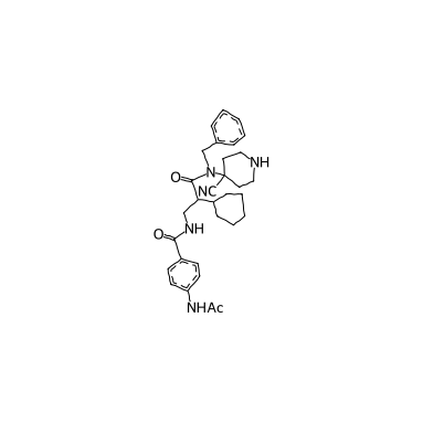 CC(=O)Nc1ccc(C(=O)NCC(C(=O)N(Cc2ccccc2)C2(C#N)CCNCC2)C2CCCCC2)cc1